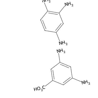 Nc1cc(N)cc(C(=O)O)c1.Nc1ccc(N)c(N)c1